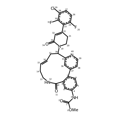 COC(=O)Nc1ccc2c(c1)C(=O)NCC/C=C/CC(N1CCC(c3c(F)ccc(Cl)c3F)=CC1=O)c1cc-2ccn1